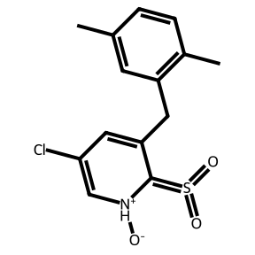 Cc1ccc(C)c(CC2=CC(Cl)=C[NH+]([O-])C2=S(=O)=O)c1